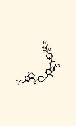 Cc1c(CN2CCC(Nc3ncnc4sc(CC(F)(F)F)cc34)CC2)ccc2c1cc(C#N)n2C[C@H](C)N1CCN(S(=O)(=O)NCC(C)C)CC1